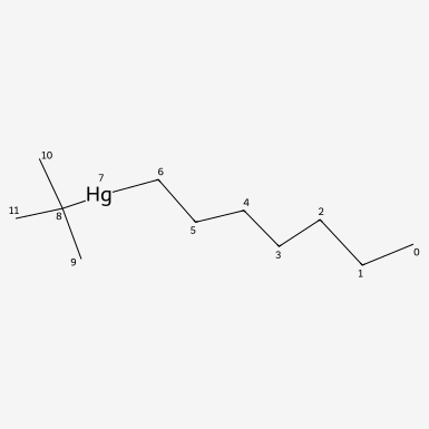 CCCCCC[CH2][Hg][C](C)(C)C